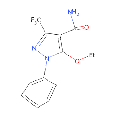 CCOc1c(C(N)=O)c(C(F)(F)F)nn1-c1ccccc1